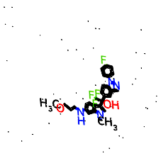 COCCCNc1ccc2c(C(O)(c3ccc4c(cnn4-c4ccc(F)cc4)c3)C(F)(F)F)cn(C)c2c1